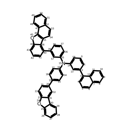 c1cc(-c2cccc3ccccc23)cc(N(c2ccc(-c3ccc4oc5ccccc5c4c3)cc2)c2cccc(-c3cccc4oc5c6ccccc6ccc5c34)c2)c1